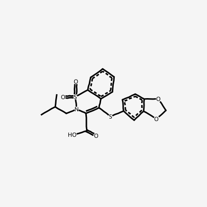 CC(C)CN1C(C(=O)O)=C(Sc2ccc3c(c2)OCO3)c2ccccc2S1(=O)=O